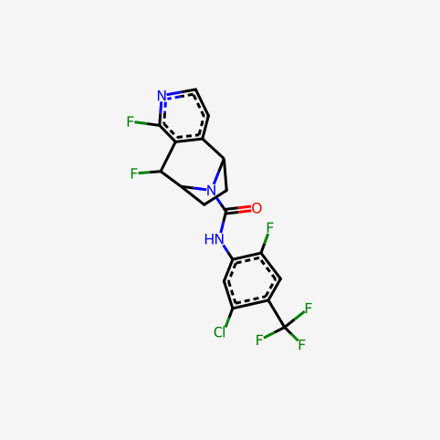 O=C(Nc1cc(Cl)c(C(F)(F)F)cc1F)N1C2CCC1C(F)c1c2ccnc1F